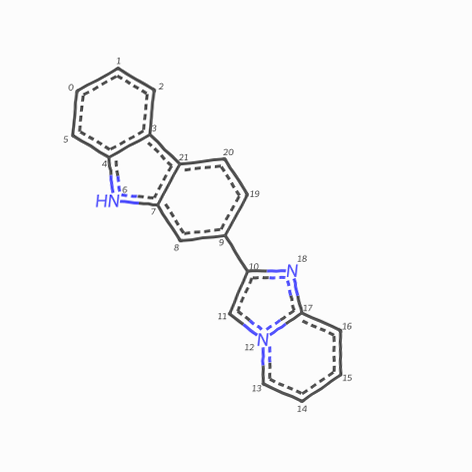 c1ccc2c(c1)[nH]c1cc(-c3cn4ccccc4n3)ccc12